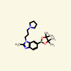 Cc1nc2ccc(B3OC(C)(C)C(C)(C)O3)cc2n1CCCN1CCCC1